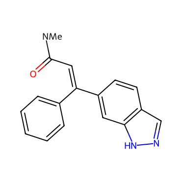 CNC(=O)C=C(c1ccccc1)c1ccc2cn[nH]c2c1